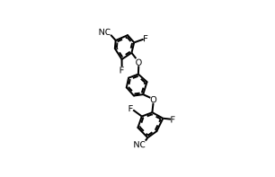 N#Cc1cc(F)c(Oc2cccc(Oc3c(F)cc(C#N)cc3F)c2)c(F)c1